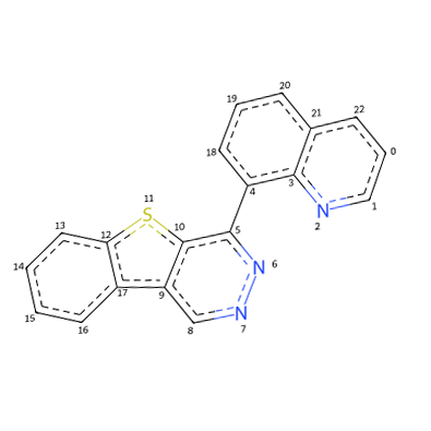 c1cnc2c(-c3nncc4c3sc3ccccc34)cccc2c1